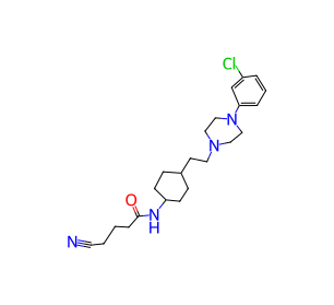 N#CCCCC(=O)NC1CCC(CCN2CCN(c3cccc(Cl)c3)CC2)CC1